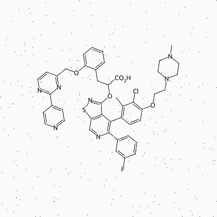 Cc1c(-c2c(-c3cccc(F)c3)ncc3snc(OC(Cc4ccccc4OCc4ccnc(-c5ccncc5)n4)C(=O)O)c23)ccc(OCCN2CCN(C)CC2)c1Cl